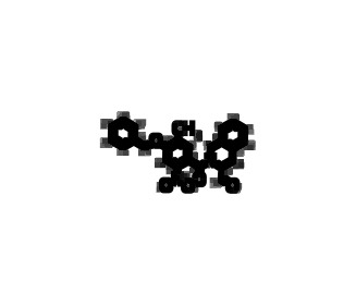 Cc1cc(C(=O)N2Cc3ccccc3C[C@H]2C=O)c([N+](=O)[O-])cc1OCc1ccccc1